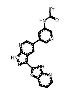 CC(C)C(=O)Nc1cncc(-c2cnc3[nH]nc(-c4nc5cccnc5[nH]4)c3c2)c1